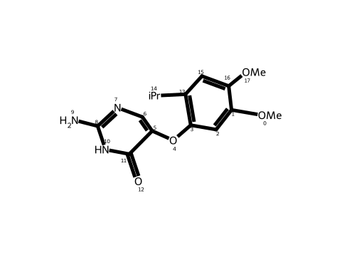 COc1cc(Oc2cnc(N)[nH]c2=O)c(C(C)C)cc1OC